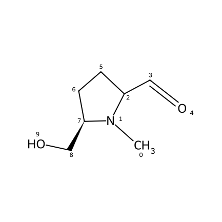 CN1C(C=O)CC[C@@H]1CO